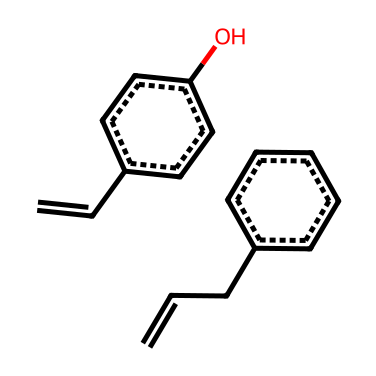 C=CCc1ccccc1.C=Cc1ccc(O)cc1